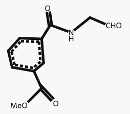 COC(=O)c1cccc(C(=O)NCC=O)c1